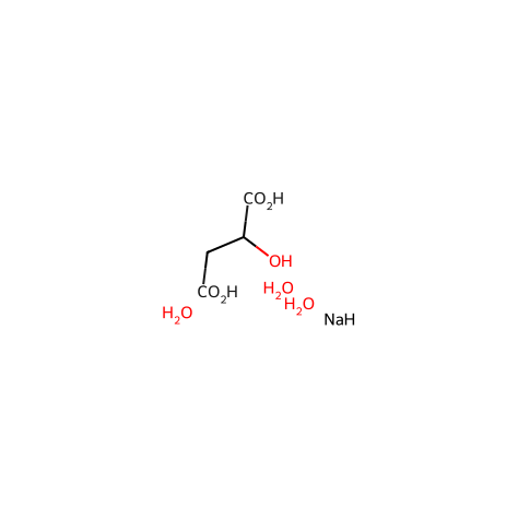 O.O.O.O=C(O)CC(O)C(=O)O.[NaH]